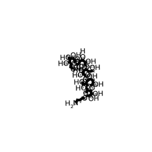 NCCCO[C@@H]1OC(CO)[C@@H](O[C@@H]2OC(CO)[C@@H](O[C@H]3OC(CO)[C@H](O[C@H]4OC(CO)[C@@H](O[C@@H]5OC(CO)[C@@H](O)C(O)C5O)C(O)C4O)C(O)C3O)C(O)CC2O)C(O)C1O